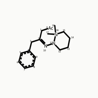 CC(=O)CC(Cc1ccccc1)=NN1CCCC[Si]1(C)C